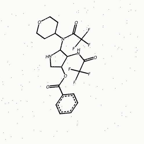 O=C(OC1CNC(N(C(=O)C(F)(F)F)C2CCOCC2)C1NC(=O)C(F)(F)F)c1ccccc1